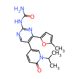 Cc1ccc(-c2nc(NC(N)=O)ncc2-c2ccc(=O)n(C(C)C)c2)o1